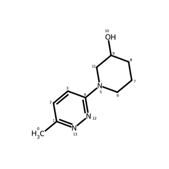 Cc1ccc(N2CCCC(O)C2)nn1